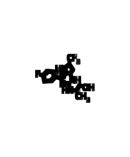 C[C@@H](CO)N/C(=N/C(=O)c1ccc(F)cc1)NC1CC(C(F)(F)F)NN1